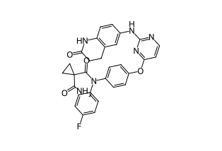 NC(=O)C1(C(=O)N(c2ccc(F)cc2)c2ccc(Oc3ccnc(Nc4ccc5c(c4)CCC(=O)N5)n3)cc2)CC1